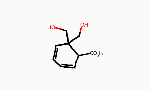 O=C(O)C1C=CC=CC1(CO)CO